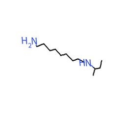 CCC(C)NCCCCCCCCCN